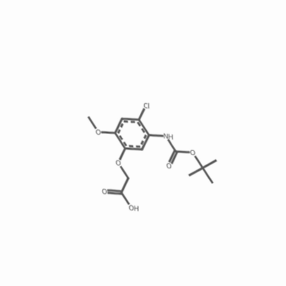 COc1cc(Cl)c(NC(=O)OC(C)(C)C)cc1OCC(=O)O